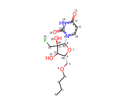 CCCCOC[C@H]1O[C@@H](n2ccc(=O)[nH]c2=O)[C@@](O)(CF)C1O